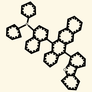 c1ccc(N(c2ccccc2)c2ccc(-c3c4ccccc4c(-c4cccc5c4oc4ccccc45)c4cc5ccccc5cc34)c3ccccc23)cc1